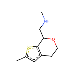 CNCC1OCCc2cc(C)sc21